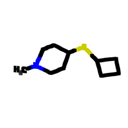 CN1CCC(SC2CCC2)CC1